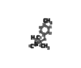 [C-]#[N+]C(C)(C)Cc1ccc(C)cc1